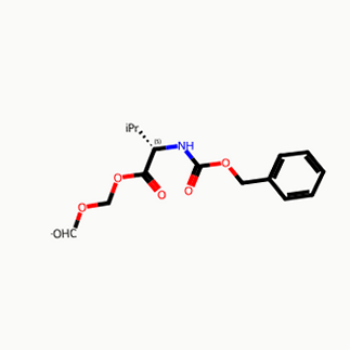 CC(C)[C@H](NC(=O)OCc1ccccc1)C(=O)OCO[C]=O